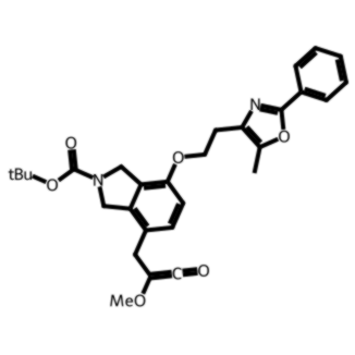 COC(=C=O)Cc1ccc(OCCc2nc(-c3ccccc3)oc2C)c2c1CN(C(=O)OC(C)(C)C)C2